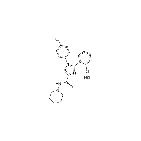 Cl.O=C(NN1CCCCC1)c1cn(-c2ccc(Cl)cc2)c(-c2ccccc2Cl)n1